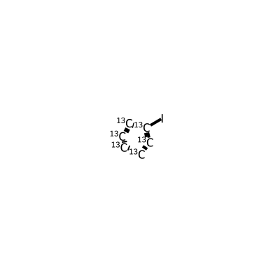 I[13c]1[13cH][13cH][13cH][13cH][13cH]1